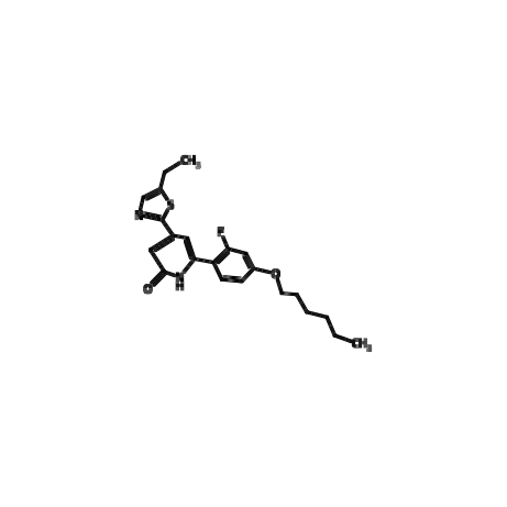 CCCCCCOc1ccc(-c2cc(-c3ncc(CC)s3)cc(=O)[nH]2)c(F)c1